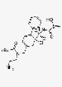 CCCCC(=O)N(CCN)CC1=CC=C(c2ccccc2)C(Cl)(S(=O)(=O)NC(=O)[C@H](C)O)C1